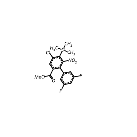 COC(=O)c1cc(Cl)c([Si](C)(C)C)c([N+](=O)[O-])c1-c1cc(F)cc(F)c1